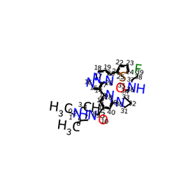 CCN(CC)[C@@H](C)CNC(=O)c1cc(-c2cnn3ccc(-c4cccs4)nc23)nc(N2CC[C@H]2C(=O)NCCF)c1